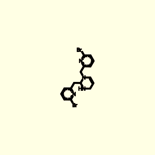 Brc1cccc(CC2NCC=CN2Cc2cccc(Br)n2)n1